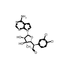 C[C@@]1(O)[C@@H]([C@H](C=O)c2ccc(Cl)c(Cl)c2)O[C@@H](n2ccc3c(N)ncnc32)[C@@H]1O